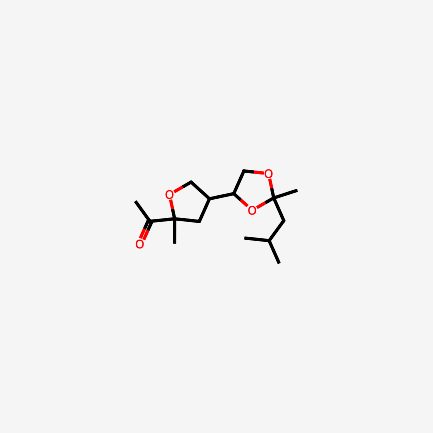 CC(=O)C1(C)CC(C2COC(C)(CC(C)C)O2)CO1